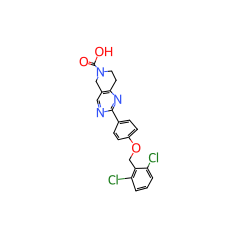 O=C(O)N1CCc2nc(-c3ccc(OCc4c(Cl)cccc4Cl)cc3)ncc2C1